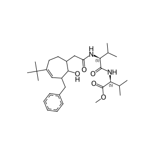 COC(=O)[C@@H](NC(=O)[C@@H](NC(=O)CC1CCC(C(C)(C)C)=CC(Cc2ccccc2)C1O)C(C)C)C(C)C